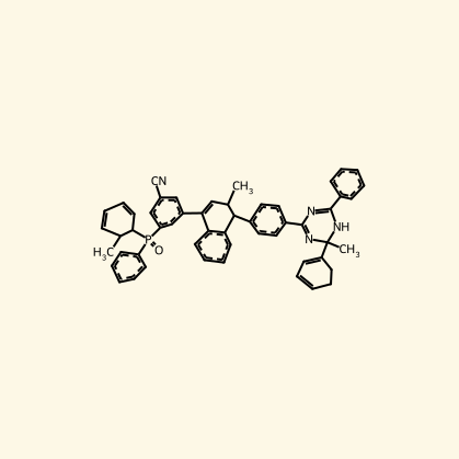 CC1C=C(c2cc(C#N)cc(P(=O)(c3ccccc3)C3C=CC=CC3C)c2)c2ccccc2C1c1ccc(C2=NC(C)(C3=CC=CCC3)NC(c3ccccc3)=N2)cc1